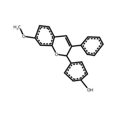 COc1ccc2c(c1)OC(c1ccc(O)cc1)C(c1ccccc1)=C2